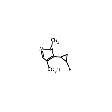 Cn1ncc(C(=O)O)c1C1CC1F